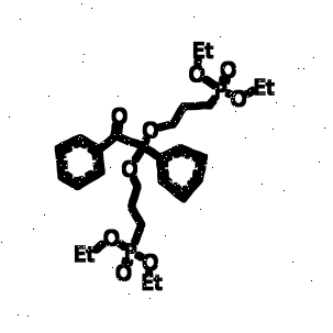 CCOP(=O)(CCCOC(OCCCP(=O)(OCC)OCC)(C(=O)c1ccccc1)c1ccccc1)OCC